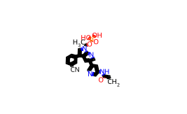 C=CC(=O)Nc1cncc(-c2cnc3c(c2)c(-c2cccc(C#N)c2)cn3C(C)OP(=O)(O)O)c1